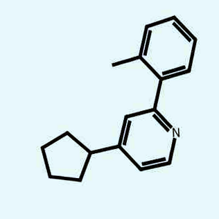 Cc1ccccc1-c1cc(C2CCCC2)ccn1